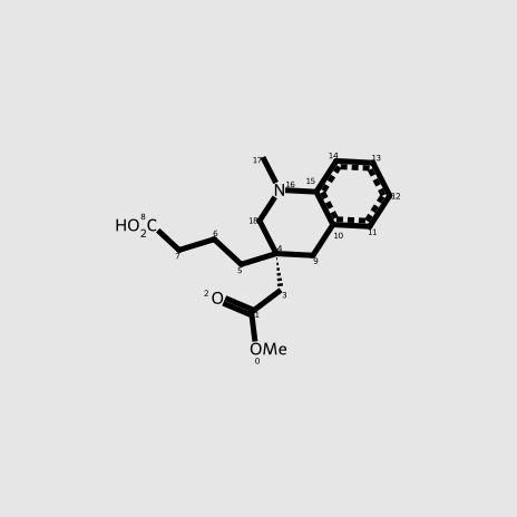 COC(=O)C[C@@]1(CCCC(=O)O)Cc2ccccc2N(C)C1